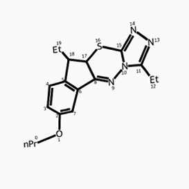 CCCOc1ccc2c(c1)C1=Nn3c(CC)nnc3SC1C2CC